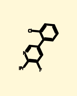 CC(C)c1ncc(-c2ccccc2Cl)cc1F